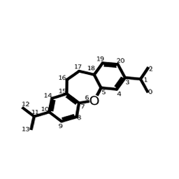 CC(C)C1=CC2Oc3ccc(C(C)C)cc3CCC2C=C1